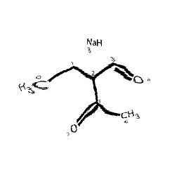 CCC(C=O)C(C)=O.[NaH]